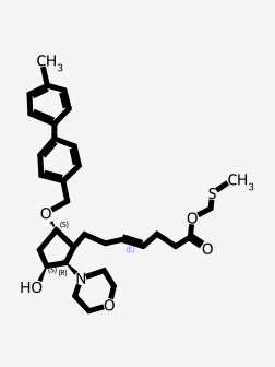 CSCOC(=O)CC/C=C/CCC1[C@@H](OCc2ccc(-c3ccc(C)cc3)cc2)C[C@H](O)[C@@H]1N1CCOCC1